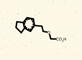 O=C(O)COCCc1ccc2c(c1)CCC2